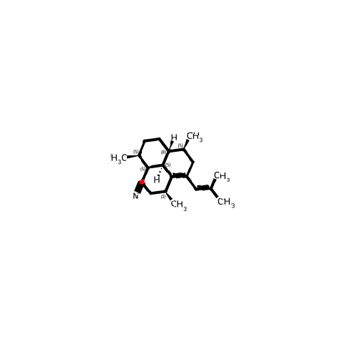 CC(C)=CC1=C2[C@@H]3[C@H](CC[C@H](C)[C@@]3(C#N)CC[C@@H]2C)[C@@H](C)C1